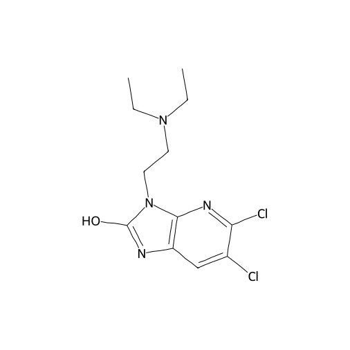 CCN(CC)CCn1c(O)nc2cc(Cl)c(Cl)nc21